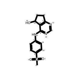 CS(=O)(=O)c1ccc(Nc2ncnc3c2C(O)CC3)cc1